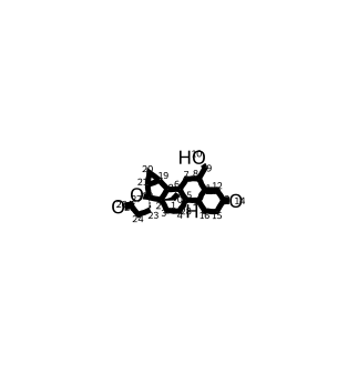 CC[C@]12CCC3C(CC(CO)C4=CC(=O)CC[C@@H]43)C1C1CC1[C@@]21CCC(=O)O1